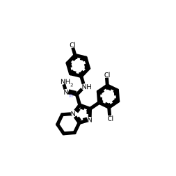 N/N=C(\Nc1ccc(Cl)cc1)c1c(-c2cc(Cl)ccc2Cl)nc2n1CCCC2